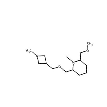 COCC1CCCC(COCC2CN(C)C2)N1I